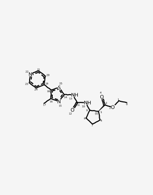 CCOC(=O)[C@H]1CCCC1NC(=O)Nc1nc(C)c(-c2ccncc2)s1